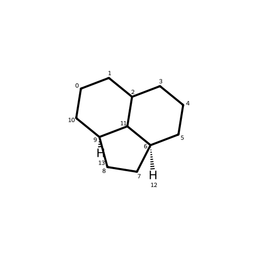 C1CC2CCC[C@H]3CC[C@@H](C1)C23